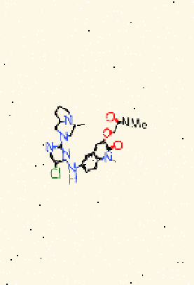 CNC(=O)COc1cc2cc(Nc3nc(N4CC(C)N5CCCC5C4)ncc3Cl)ccc2n(C)c1=O